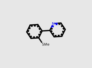 CSc1ccccc1-c1c[c]ccn1